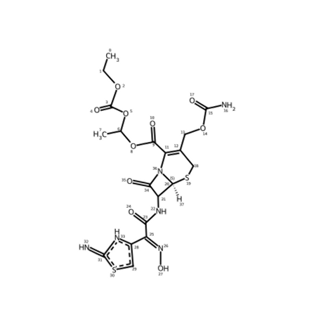 CCOC(=O)OC(C)OC(=O)C1=C(COC(N)=O)CS[C@H]2C(NC(=O)C(=NO)c3csc(=N)[nH]3)C(=O)N12